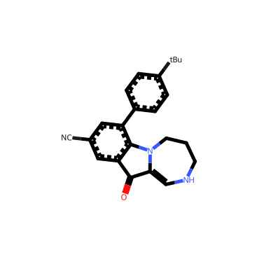 CC(C)(C)c1ccc(-c2cc(C#N)cc3c2N2CCCNC=C2C3=O)cc1